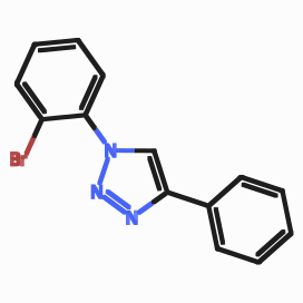 Brc1ccccc1-n1cc(-c2ccccc2)nn1